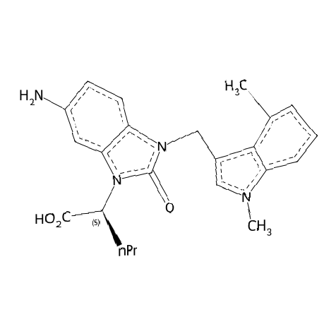 CCC[C@@H](C(=O)O)n1c(=O)n(Cc2cn(C)c3cccc(C)c23)c2ccc(N)cc21